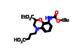 CCOC(=O)C1CN(CCCC(=O)O)c2cccc(NC(=O)OC(C)(C)C)c2O1